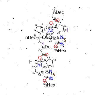 CCCCCCCCCCC(CI)(C(=O)[O-])C1CCCC1.CCCCCCCCCCCC(=O)OC(C1CCCC1)[N+]1(C)CCC=C(c2nsnc2OCCCCCC)C1.CCCCCCCCCCCC(=O)OC(C1CCCC1)[N+]1(C)CCC=C(c2nsnc2OCCCCCC)C1.[I-]